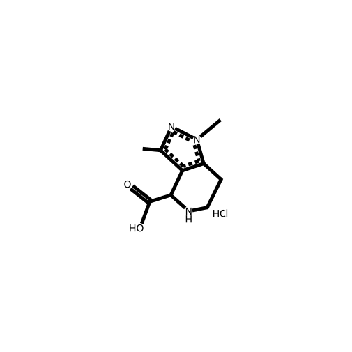 Cc1nn(C)c2c1C(C(=O)O)NCC2.Cl